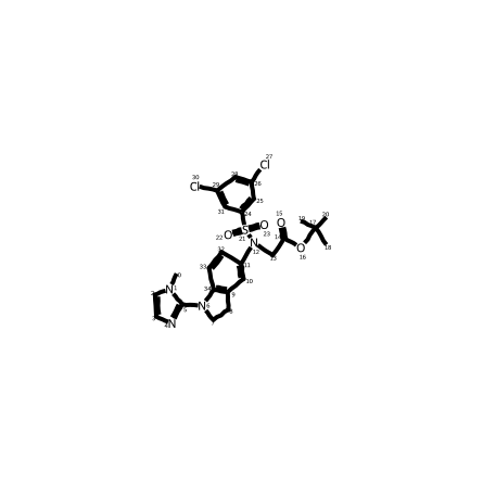 Cn1ccnc1N1CCc2cc(N(CC(=O)OC(C)(C)C)S(=O)(=O)c3cc(Cl)cc(Cl)c3)ccc21